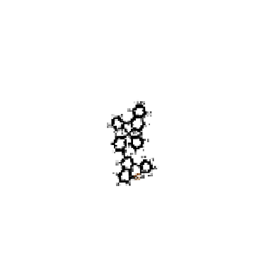 c1ccc(C2(c3cccc(-c4cc5c6c(cccc6c4)Sc4ccccc4-5)c3)c3ccccc3-c3c2ccc2ccccc32)cc1